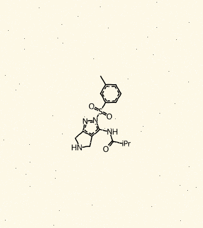 Cc1cccc(S(=O)(=O)n2nc3c(c2NC(=O)C(C)C)CNC3)c1